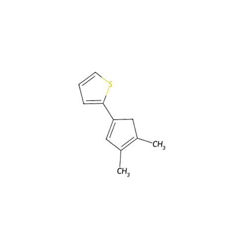 CC1=C(C)CC(c2cccs2)=C1